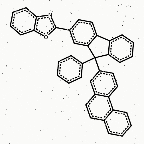 c1ccc(C2(c3ccc4c(ccc5ccccc54)c3)c3ccccc3-c3ccc(-c4nc5ccccc5o4)cc32)cc1